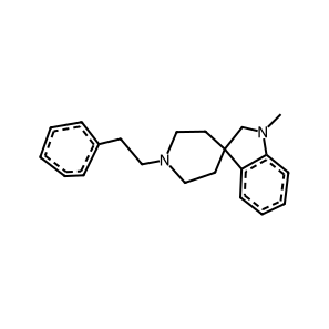 CN1CC2(CCN(CCc3ccccc3)CC2)c2ccccc21